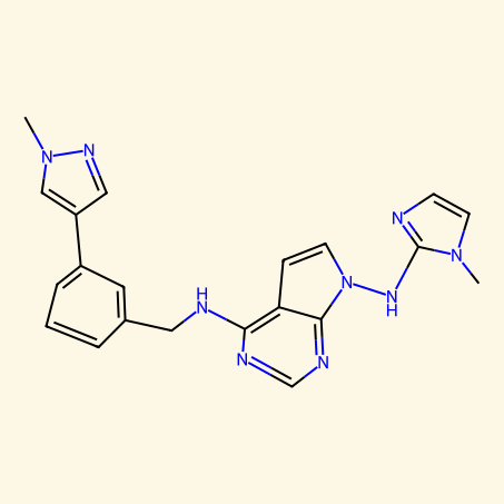 Cn1cc(-c2cccc(CNc3ncnc4c3ccn4Nc3nccn3C)c2)cn1